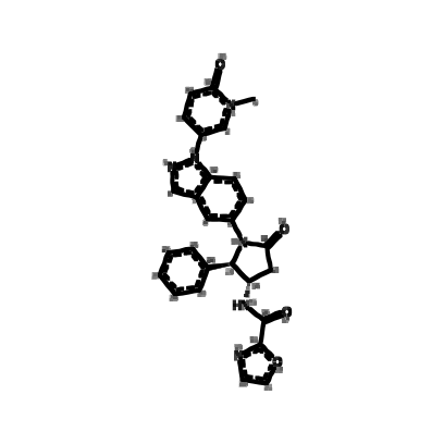 Cn1cc(-n2ncc3cc(N4C(=O)C[C@H](NC(=O)c5ncco5)[C@H]4c4ccccc4)ccc32)ccc1=O